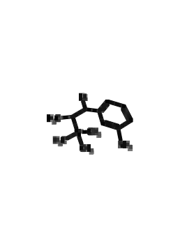 CCC(c1cccc(N)c1)C(C)[N+](C)(C)C